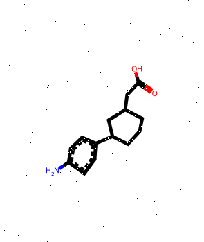 Nc1ccc(C2CCCC(CC(=O)O)C2)cc1